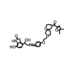 Cc1cc(C(=O)N2CCOC3(CCN(CCOc4ccc(CNCC(O)c5ccc(O)c6[nH]c(=O)sc56)cc4)CC3)C2)oc1C